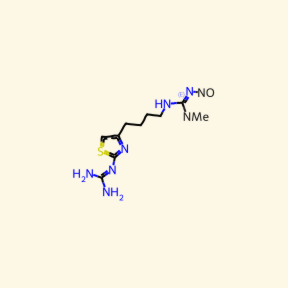 CN/C(=N\N=O)NCCCCc1csc(N=C(N)N)n1